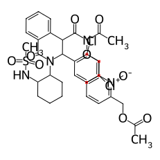 CC(=O)OCc1cccc(CON(C(C)=O)C(=O)C2c3ccccc3C(=O)N(C3CCCCC3NS(C)(=O)=O)C2c2ccc(Cl)cc2Cl)[n+]1[O-]